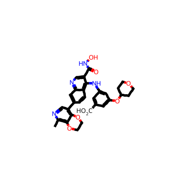 Cc1ncc(-c2ccc3c(Nc4cc(OC5CCOCC5)cc(C(=O)O)c4)c(C(=O)NO)cnc3c2)c2c1OCCO2